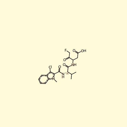 CC(C)[C@H](NC(=O)c1c(Cl)c2ccccc2n1C)C(=O)NC(CC(=O)O)C(=O)CF